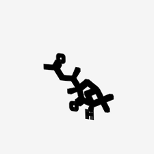 CC(=O)C[C@@H](C)[C@]1(C)CC2C[C@@H](C1=O)C2(C)C